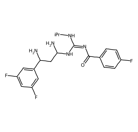 CC(C)N/C(=N/C(=O)c1ccc(F)cc1)NC(N)CC(N)c1cc(F)cc(F)c1